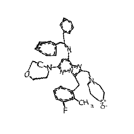 Cc1c(F)cccc1Cc1c(CN2CC[S+]([O-])CC2)nc2c(N=C(c3ccccc3)c3ccccc3)cc(N3CCOCC3)nn12